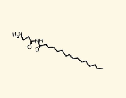 CCCCCCCCCCCCCCCC(=O)NC(=O)CCN